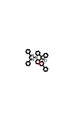 O=P1(c2cccc(-c3ccccc3)c2)C2=C(c3ccccc3N(c3nc(-c4ccccc4)cc(-c4ccccc4)n3)c3ccccc32)c2ccccc21